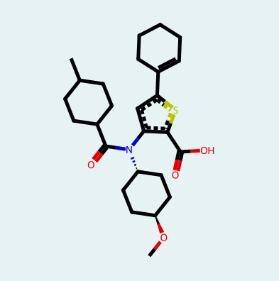 CO[C@H]1CC[C@H](N(C(=O)C2CCC(C)CC2)c2cc(C3=CCCCC3)sc2C(=O)O)CC1